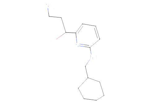 NCCC(O)c1cccc(NCC2CCCCC2)n1